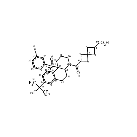 O=C(O)C1CC2(C1)CC(C(=O)N1CCCC3(S(=O)(=O)c4cccc(F)c4)c4ccc(C(F)(C(F)(F)F)C(F)(F)F)cc4CCC13)C2